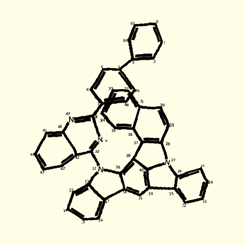 c1ccc(-c2ccc(-c3nc(-n4c5ccccc5c5cc6c7ccccc7n7c8ccc9ccccc9c8c(c54)c67)c4ccccc4n3)cc2)cc1